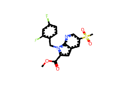 COC(=O)c1cc2cc(S(C)(=O)=O)cnc2n1Cc1ccc(F)cc1F